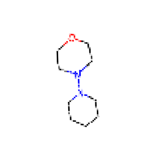 C1CCN(N2CCOCC2)CC1